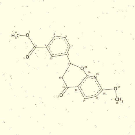 COC(=O)c1cccc(C2CC(=O)c3ccc(OC)nc3O2)c1